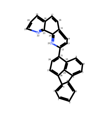 c1ccc2c(c1)-c1cccc3c(-c4ccc5ccc6cccnc6c5n4)ccc-2c13